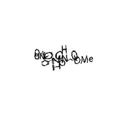 COC(=O)/C=C/CNC(=O)C(=O)NCc1ccccc1C(=O)NC1(c2cccc3ccccc23)CC1